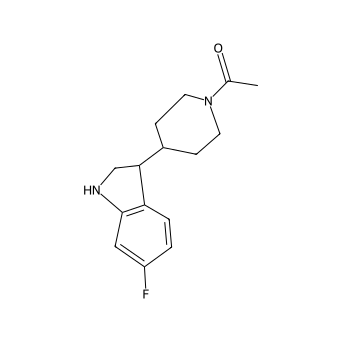 CC(=O)N1CCC(C2CNc3cc(F)ccc32)CC1